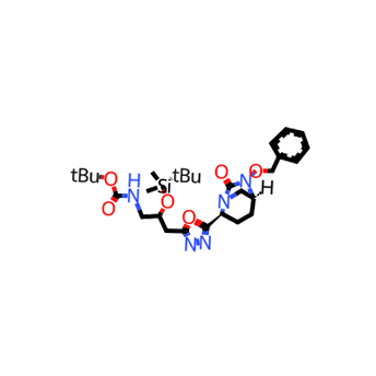 CC(C)(C)OC(=O)NCC(Cc1nnc([C@@H]2CC[C@H]3CN2C(=O)N3OCc2ccccc2)o1)O[Si](C)(C)C(C)(C)C